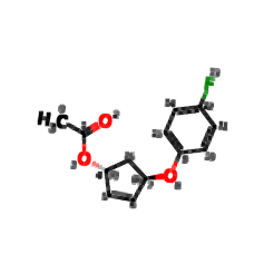 CC(=O)O[C@H]1C=C[C@H](Oc2ccc(F)cc2)C1